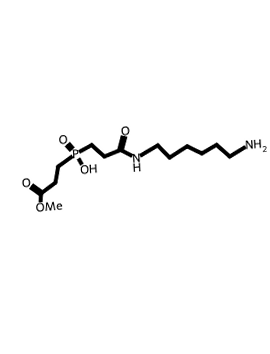 COC(=O)CCP(=O)(O)CCC(=O)NCCCCCCN